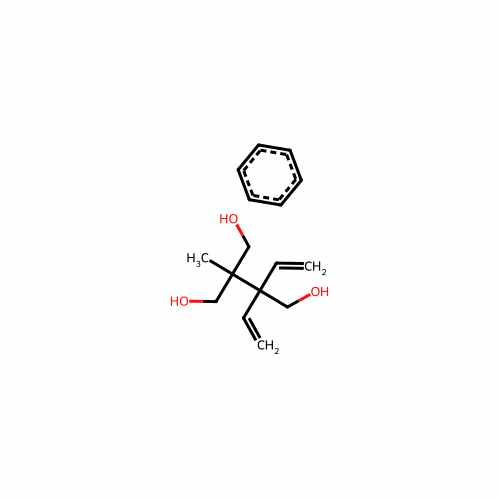 C=CC(C=C)(CO)C(C)(CO)CO.c1ccccc1